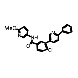 COc1ccc(NC(=O)c2ccc(Cl)c(-c3ccc(-c4ccccc4)nc3)c2)cn1